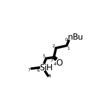 CCCCCCC(=O)C[SiH](C)C